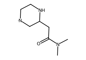 CN(C)C(=O)CC1C[N]CCN1